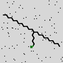 CCCCCCCCCCCCC(CCCCBr)CCCCCCCCCC